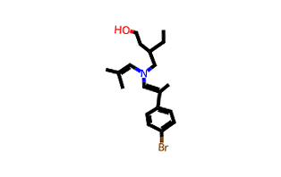 CCC(CCO)CN(C=C(C)C)/C=C(\C)c1ccc(Br)cc1